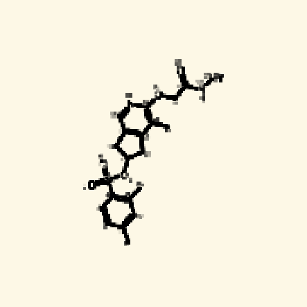 Cc1ccc(S(=O)(=O)OC2Cc3cnc(OCC(=O)NC(C)C)c(C)c3C2)c(C)c1